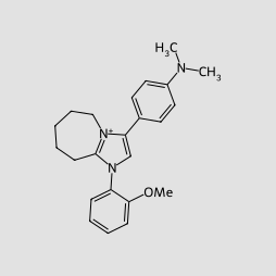 COc1ccccc1-n1cc(-c2ccc(N(C)C)cc2)[n+]2c1CCCCC2